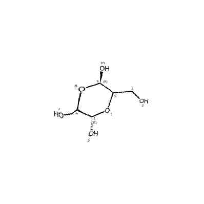 OCC1O[C@H](O)C(O)O[C@H]1O